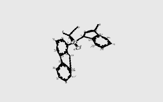 CC1=C[CH]([Zr]([Cl])(=[C](C)C)[c]2cccc3c2Cc2ccccc2-3)c2ccccc21